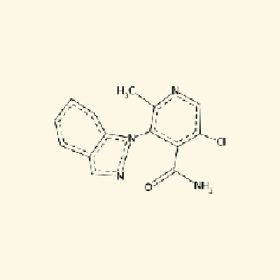 Cc1ncc(Cl)c(C(N)=O)c1-n1ncc2ccccc21